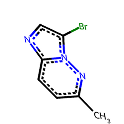 Cc1ccc2ncc(Br)n2n1